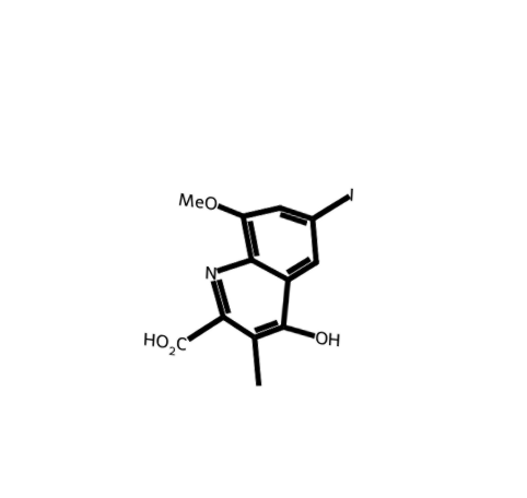 COc1cc(I)cc2c(O)c(C)c(C(=O)O)nc12